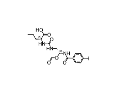 CCC[C@H](NC(=O)NC[C@H](NC(=O)c1ccc(I)cc1)OC=O)C(=O)O